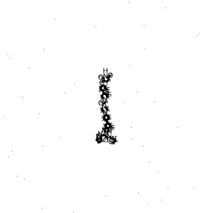 O=C1CCC(Oc2ccc(C3CCN(CC(=O)N4CCN(c5ccc(-c6cc(F)c7cn(C(C(=O)Nc8nccs8)c8ncn9c8CCC9)nc7c6)cc5)CC4)CC3(F)F)c(F)c2)C(=O)N1